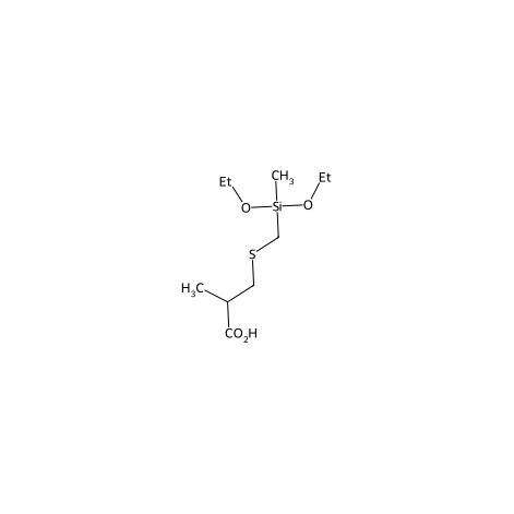 CCO[Si](C)(CSCC(C)C(=O)O)OCC